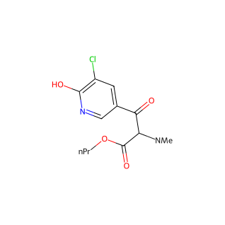 CCCOC(=O)C(NC)C(=O)c1cnc(O)c(Cl)c1